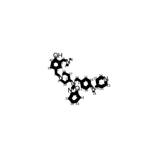 CN(C)Cc1cc(CN2CCC(N(Cc3ccc(N(C)c4ccncc4)cc3)c3nc4ccccc4o3)CC2)ccc1O